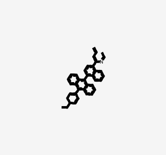 C=C/C=C(\N=C/C)c1ccc(-c2c3ccccc3c(C3=CCC(CC)C=C3)c3ccccc23)c2ccccc12